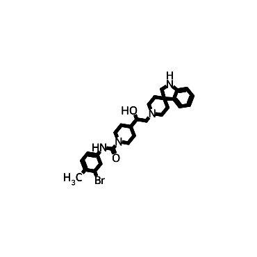 CC1=CC=C(NC(=O)N2CCC(C(O)CN3CCC4(CC3)CNc3ccccc34)CC2)CC1Br